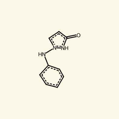 O=c1ccn(Nc2ccccc2)[nH]1